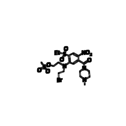 CCS(=O)(=O)c1cc([N+](=O)[O-])c(C(=O)N2CCN(C)CC2)cc1N(CCBr)CCOS(C)(=O)=O